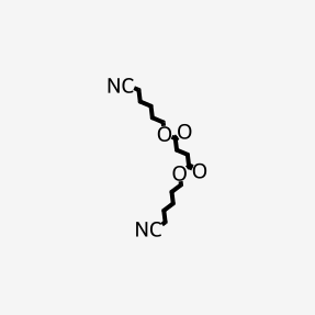 N#CCCCCCOC(=O)CCC(=O)OCCCCCC#N